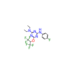 CCN(CC)c1nc(Nc2ccc(F)cc2)nc(OC(C(F)(F)F)C(F)(F)F)n1